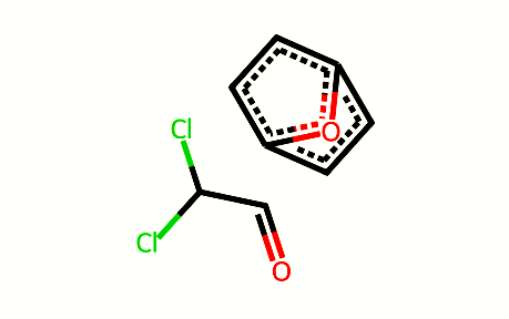 O=CC(Cl)Cl.c1cc2ccc1o2